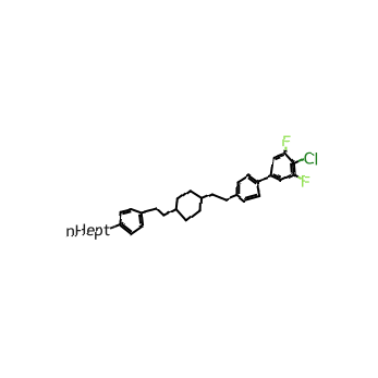 CCCCCCCc1ccc(CCC2CCC(CCc3ccc(-c4cc(F)c(Cl)c(F)c4)cc3)CC2)cc1